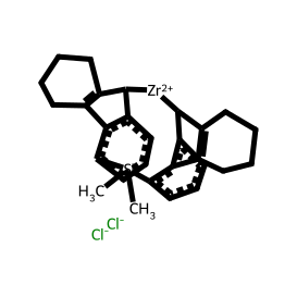 C[Si]1(C)c2cccc3c2C2=C(CCCC2)[CH]3[Zr+2][CH]2C3=C(CCCC3)c3c2cccc31.[Cl-].[Cl-]